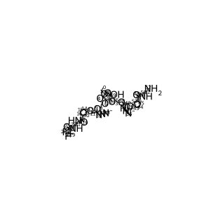 CCOC(=O)C(OCCOC(COc1cccc(C(=O)NCCNC(=O)C(F)(F)F)c1)N=[N+]=[N-])C(OCCOC(COc1cccc(C(=O)NCCN)c1)N=[N+]=[N-])C(=O)O